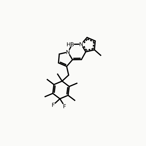 CC1=C(C)C(C)(CC2=CCN3Bn4ccc(C)c4C=C23)C(C)=C(C)C1(F)F